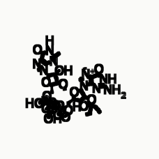 CCC1(CC)OC2[C@@H](O1)[C@@H](COP(=O)(O)OP(=O)(O)OP(=O)(O)OC[C@H]1O[C@@H](n3cnc4c(=O)[nH]c(C)nc43)[C@@H](O)C1OC)O[C@H]2n1c[n+](C)c2c(=O)[nH]c(N)nc21